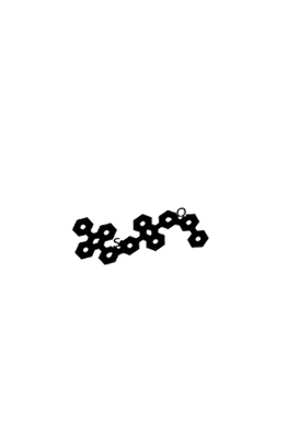 c1ccc(-c2ccc3oc4ccc(-c5c6ccccc6c(-c6ccc7c(c6)sc6c(-c8c9ccccc9c(-c9ccccc9)c9ccccc89)cccc67)c6ccccc56)cc4c3c2)cc1